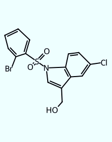 O=S(=O)(c1ccccc1Br)n1cc(CO)c2cc(Cl)ccc21